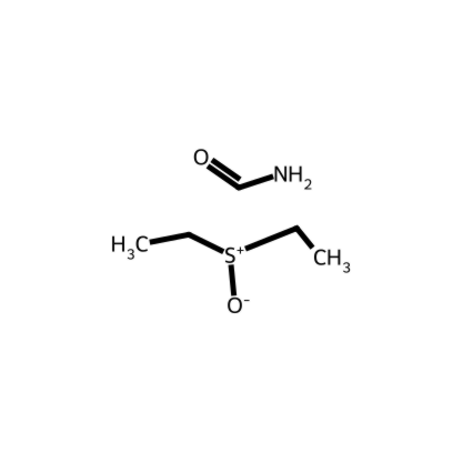 CC[S+]([O-])CC.NC=O